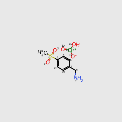 CS(=O)(=O)c1ccc(CN)cc1.[O-][Cl+2]([O-])O